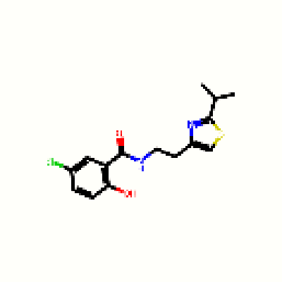 CC(C)c1nc(CCNC(=O)c2cc(Cl)ccc2O)cs1